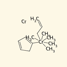 C=C[CH2][Cr]([CH3])([CH3])([CH3])([CH3])([CH3])[C]1=CC=CC1.[Cr]